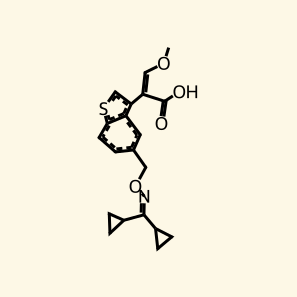 COC=C(C(=O)O)c1csc2ccc(CON=C(C3CC3)C3CC3)cc12